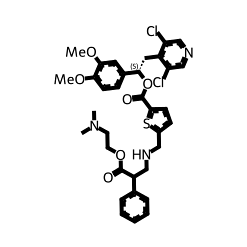 COc1ccc([C@H](Cc2c(Cl)cncc2Cl)OC(=O)c2ccc(CNCC(C(=O)OCCN(C)C)c3ccccc3)s2)cc1OC